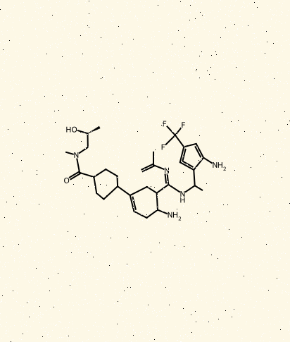 C=C(C)/N=C(/NC(C)C1=C=C(C(F)(F)F)C=C1N)C1CC(C2CCC(C(=O)N(C)C[C@H](C)O)CC2)=CCC1N